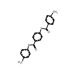 Cc1ccc(SC(=O)c2ccc(SC(=O)c3ccc(C)cc3)cc2)cc1